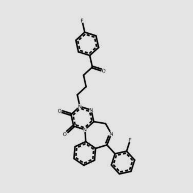 O=C(CCCn1nc2n(c(=O)c1=O)-c1ccccc1C(c1ccccc1F)=NC2)c1ccc(F)cc1